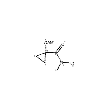 CCN(C)C(=O)C1(OC)CC1